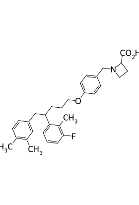 Cc1ccc(CC(CCCOc2ccc(CN3CCC3C(=O)O)cc2)c2cccc(F)c2C)cc1C